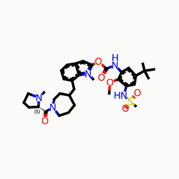 COc1c(NC(=O)Oc2cc3cccc(CC4CCCN(C(=O)[C@@H]5CCCN5C)CC4)c3n2C)cc(C(C)(C)C)cc1NS(C)(=O)=O